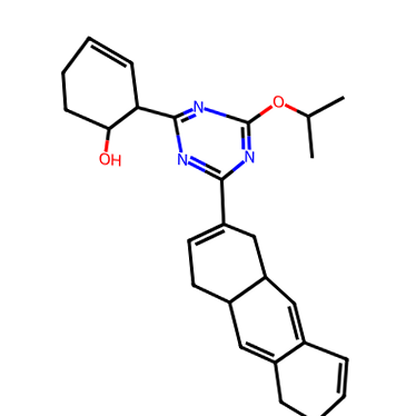 CC(C)Oc1nc(C2=CCC3C=C4CCC=CC4=CC3C2)nc(C2C=CCCC2O)n1